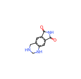 O=C1NC(=O)c2cc3c(cc21)CNCN3